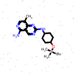 Cc1cnc(N)c2cnc(NC3CCC(O[Si](C)(C)C(C)(C)C)CC3)nc12